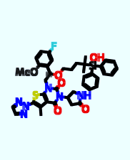 COc1ccc(F)cc1[C@H](Cn1c(=O)n(C2CNC(=O)C2)c(=O)c2c(C)c(-n3nccn3)sc21)OCCCC(C)(C)[Si](O)(c1ccccc1)c1ccccc1